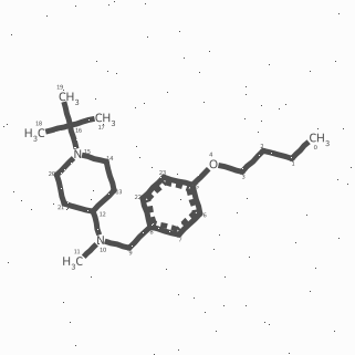 CCCCOc1ccc(CN(C)C2CCN(C(C)(C)C)CC2)cc1